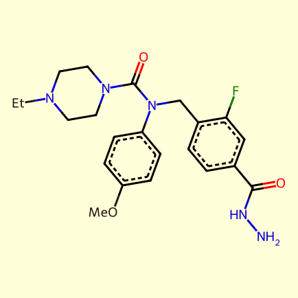 CCN1CCN(C(=O)N(Cc2ccc(C(=O)NN)cc2F)c2ccc(OC)cc2)CC1